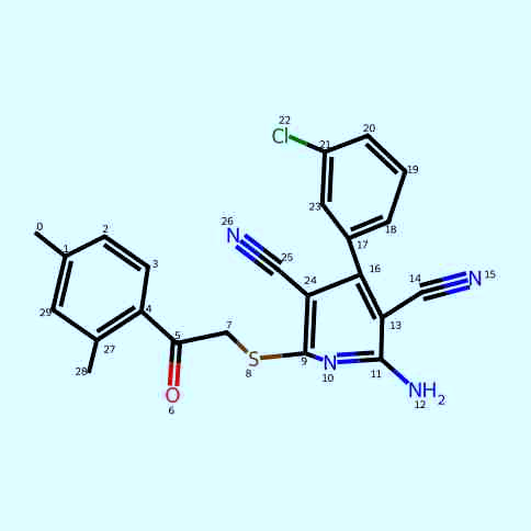 Cc1ccc(C(=O)CSc2nc(N)c(C#N)c(-c3cccc(Cl)c3)c2C#N)c(C)c1